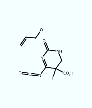 C=CC[O].O=C=NC1=NC(=O)NCC1(F)C(=O)O